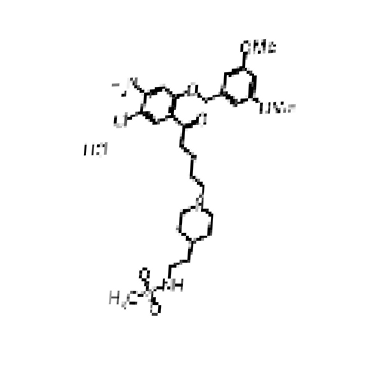 COc1cc(COc2cc(N)c(Cl)cc2C(=O)CCCCN2CCC(CCNS(C)(=O)=O)CC2)cc(OC)c1.Cl